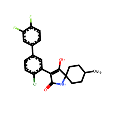 COC1CCC2(CC1)NC(=O)C(c1cc(-c3ccc(F)c(F)c3)ccc1Cl)=C2O